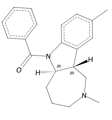 Cc1ccc2c(c1)[C@@H]1CN(C)CCC[C@H]1N2C(=O)c1ccccc1